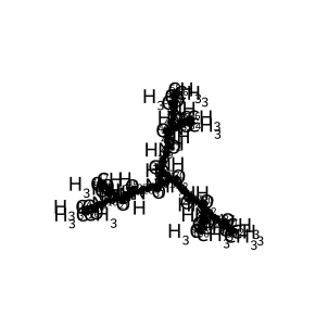 CC(C)(C)OC(=O)NCCCC(NC(=O)OC(C)(C)C)C(=O)NCC(=O)NCCNC(=O)c1cc(C(=O)NCCNC(=O)CNC(=O)C(CCCNC(=O)OC(C)(C)C)NC(=O)OC(C)(C)C)cc(C(=O)NCCNC(=O)CNC(=O)C(CCCNC(=O)OC(C)(C)C)NC(=O)OC(C)(C)C)c1